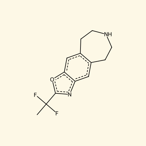 CC(F)(F)c1nc2cc3c(cc2o1)CCNCC3